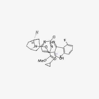 COC(=O)c1cc(N2C3CC[C@H]2CC(OC/C(C(=N)c2c(F)cccc2F)=C(/O)C2CC2)C3)nc(Cl)n1